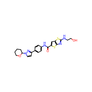 O=C(Nc1ccc(-c2ccn(C3CCCCO3)n2)cc1)c1cc2sc(NCCO)nc2s1